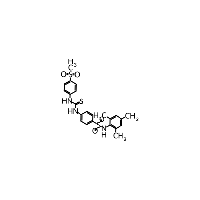 Cc1cc(C)c(NS(=O)(=O)c2ccc(NC(=S)Nc3ccc(S(C)(=O)=O)cc3)cc2)c(C)c1